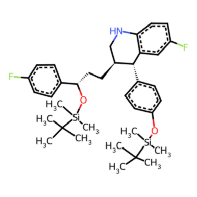 CC(C)(C)[Si](C)(C)Oc1ccc([C@H]2c3cc(F)ccc3NC[C@@H]2CC[C@H](O[Si](C)(C)C(C)(C)C)c2ccc(F)cc2)cc1